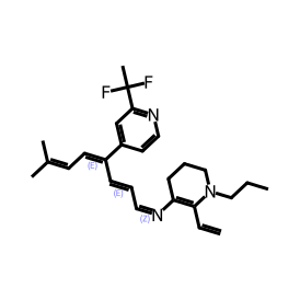 C=CC1=C(\N=C/C=C/C(=C\C=C(C)C)c2ccnc(C(C)(F)F)c2)CCCN1CCC